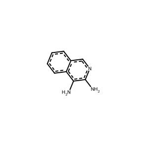 Nc1ncc2ccccc2c1N